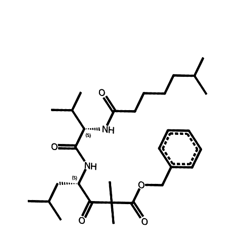 CC(C)CCCCC(=O)N[C@H](C(=O)N[C@@H](CC(C)C)C(=O)C(C)(C)C(=O)OCc1ccccc1)C(C)C